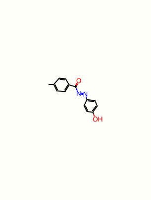 Cc1ccc(C(=O)N=Nc2ccc(O)cc2)cc1